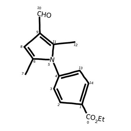 CCOC(=O)c1ccc(-n2c(C)cc(C=O)c2C)cc1